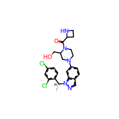 C[C@H](c1ccc(Cl)cc1Cl)n1ncc2ccc(N3CCN(C(=O)C4CCN4)C(CO)C3)cc21